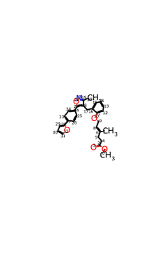 COC(=O)CC/C(C)=C/COc1ccccc1Cc1c(C)noc1-c1ccc(-c2ccco2)cc1